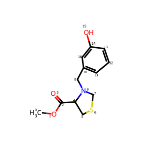 COC(=O)C1CSCN1Cc1cccc(O)c1